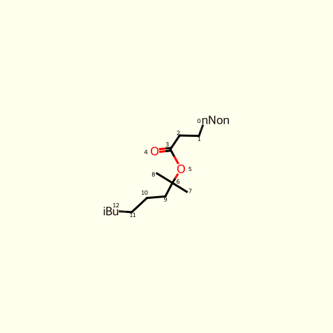 CCCCCCCCCCCC(=O)OC(C)(C)CCCC(C)CC